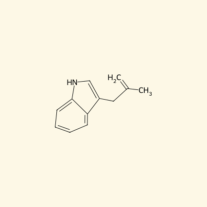 C=C(C)Cc1c[nH]c2ccccc12